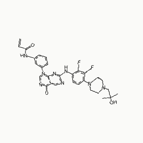 C=CC(=O)Nc1cccc(-n2cnc(=O)c3cnc(Nc4ccc(N5CCN(CC(C)(C)O)CC5)c(F)c4F)nc32)c1